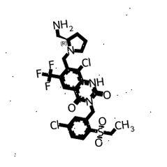 CCS(=O)(=O)c1ccc(Cl)cc1Cn1c(=O)[nH]c2c(Cl)c(CN3CCC[C@@H]3CN)c(C(F)(F)F)cc2c1=O